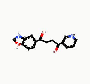 O=C(CCC(=O)c1ccc2ocnc2c1)c1cccnc1